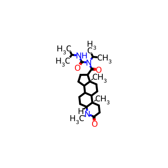 CC(C)NC(=O)N(C(=O)C1CCC2C3CC[C@H]4N(C)C(=O)CC[C@]4(C)C3CC[C@]12C)C(C)C